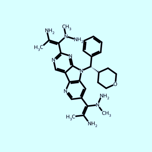 C/C(N)=C(\c1cnc2c3cnc(/C(=C(\C)N)N(C)N)nc3n([C@H](c3ccccc3)C3CCOCC3)c2c1)N(C)N